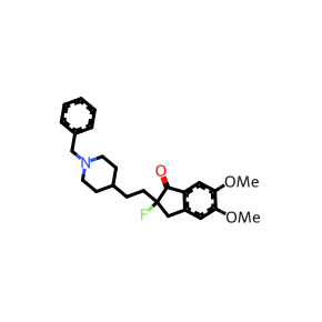 COc1cc2c(cc1OC)C(=O)C(F)(CCC1CCN(Cc3ccccc3)CC1)C2